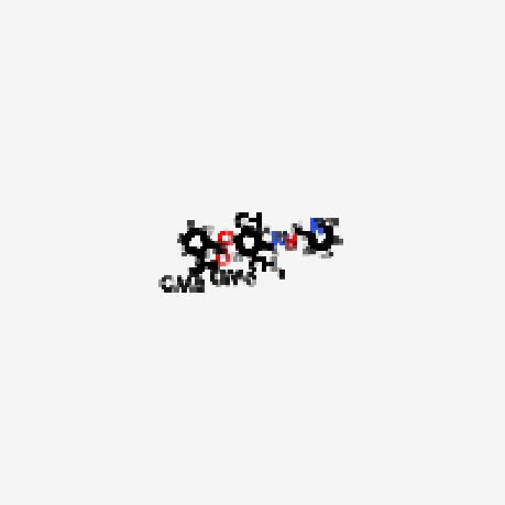 CO/C=C(\C(=O)OC)c1ccccc1COc1cc(C)c(/C=N/OCc2ccccn2)cc1C